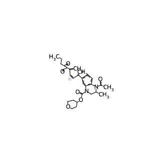 C=C(/C=C\C(=C)S(=O)(=O)CCC)c1ccc2c(c1)N(C(=O)OC1CCOCC1)CC(C)N2C(C)=O